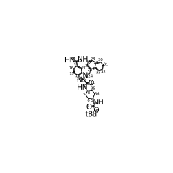 CC(C)(C)OC(=O)N[C@H]1CC[C@H](NC(=O)c2nc3ccc(C(=N)N)cc3n2Cc2cccc3ccccc23)CC1